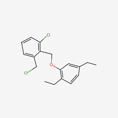 CCc1ccc(CC)c(OCc2c(Cl)cccc2CCl)c1